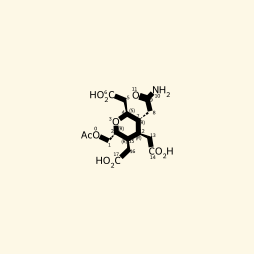 CC(=O)OC[C@@H]1O[C@@H](CC(=O)O)[C@H](CC(N)=O)[C@@H](CC(=O)O)[C@H]1CC(=O)O